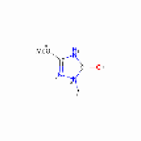 COc1nn(C)c(=O)[nH]1